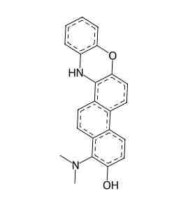 CN(C)c1c(O)ccc2c1ccc1c3c(ccc12)Oc1ccccc1N3